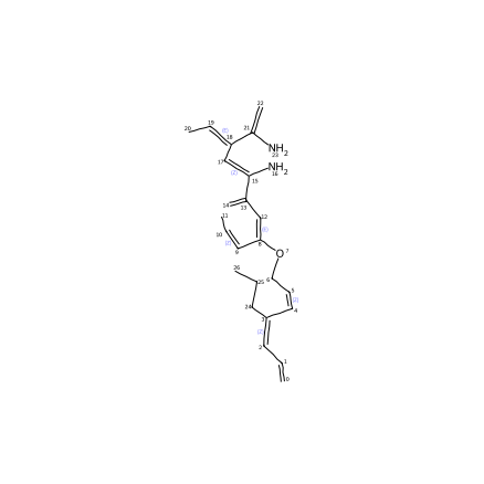 C=C/C=C(\C=C/COC(/C=C\C)=C/C(=C)/C(N)=C/C(=C\C)C(=C)N)CCC